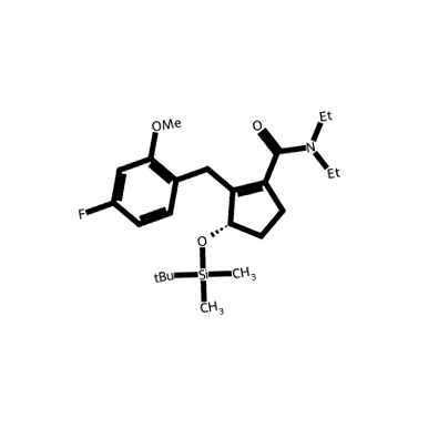 CCN(CC)C(=O)C1=C(Cc2ccc(F)cc2OC)[C@@H](O[Si](C)(C)C(C)(C)C)CC1